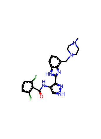 CN1CCN(Cc2cccc3[nH]c(-c4n[nH]cc4NC(=O)c4c(F)cccc4F)nc23)CC1